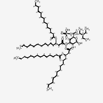 CCCCCCCCCCCCCC(=O)O[C@H](CCCCCCCCCCC)CC(=O)N[C@@H]1[C@@H](OC(=O)C[C@@H](CCCCCCCCCCC)OC(=O)CCCCCCCCCCCCC)[C@H](OP(=O)(O)O)[C@@H](CO)O[C@H]1O.CCN(CC)CC